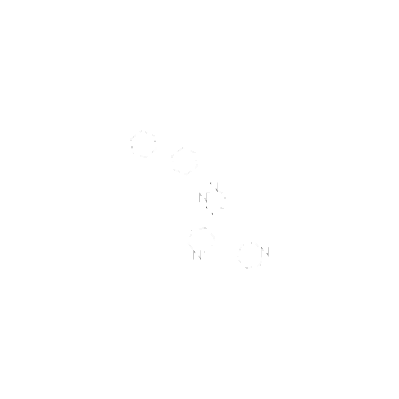 c1ccc(-c2ccc(Cn3cc(CC(c4cccnc4)c4cccnc4)nn3)cc2)cc1